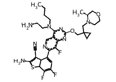 CCCCN(CCN)c1nc(OCC2(CN3CCOC[C@@H]3C)CC2)nc2c(F)c(C3=CC(F)=C(F)C4SC(N)=C(C#N)C34)ncc12